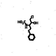 O=C(O)NC(CSc1ccccc1)C(O)CCl